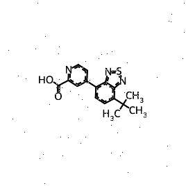 CC(C)(C)c1ccc(-c2ccnc(C(=O)O)c2)c2nsnc12